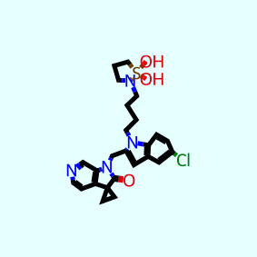 O=C1N(Cc2cc3cc(Cl)ccc3n2CCCCN2CCCS2(O)O)c2cnccc2C12CC2